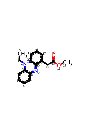 CC[n+]1c2ccccc2nc2c(CC(=O)OC)cccc21